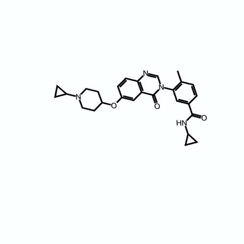 Cc1ccc(C(=O)NC2CC2)cc1-n1cnc2ccc(OC3CCN(C4CC4)CC3)cc2c1=O